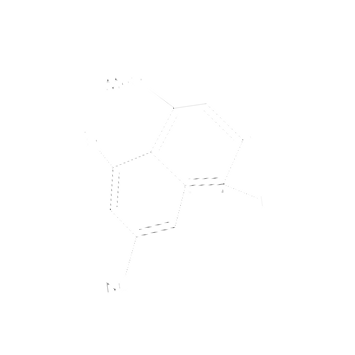 COc1ccc(F)c2cc(C#N)cc(O)c12